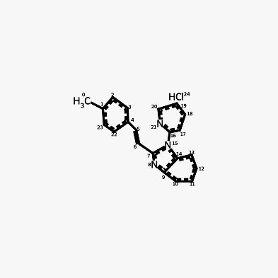 Cc1ccc(/C=C/c2nc3ccccc3n2-c2ccccn2)cc1.Cl